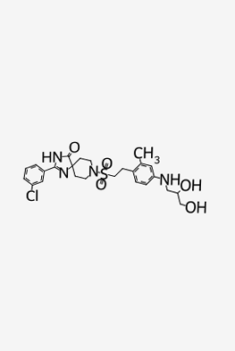 Cc1cc(NCC(O)CO)ccc1CCS(=O)(=O)N1CCC2(CC1)N=C(c1cccc(Cl)c1)NC2=O